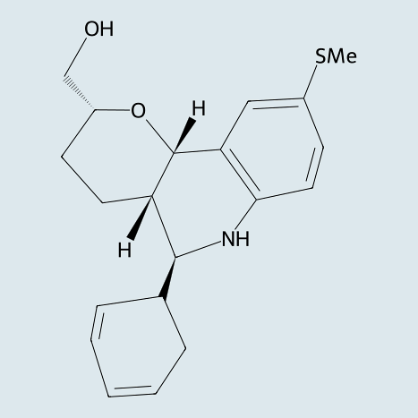 CSc1ccc2c(c1)[C@H]1O[C@@H](CO)CC[C@H]1[C@H](C1C=CC=CC1)N2